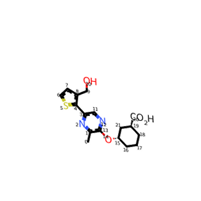 Cc1nc(-c2sccc2CO)cnc1O[C@H]1CCC[C@H](C(=O)O)C1